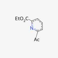 CCOC(=O)c1cccc(C(C)=O)n1